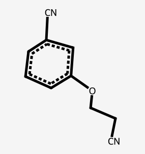 N#CCCOc1cccc(C#N)c1